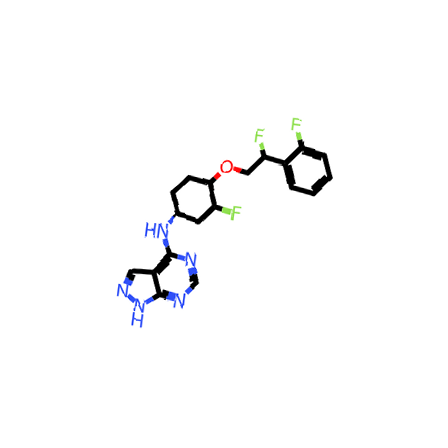 Fc1ccccc1C(F)COC1CC[C@H](Nc2ncnc3[nH]ncc23)CC1F